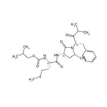 CSCC[C@H](NC(=O)OCC(C)C)C(=O)N[C@H]1CC(C)N([C@@H](Cc2ccccc2)C(=O)C(C)C)C1=O